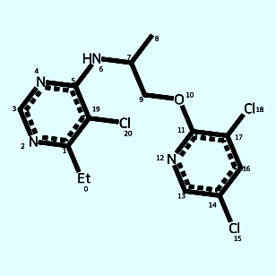 CCc1ncnc(NC(C)COc2ncc(Cl)cc2Cl)c1Cl